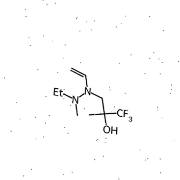 C=CN(CC(C)(O)C(F)(F)F)N(C)CC